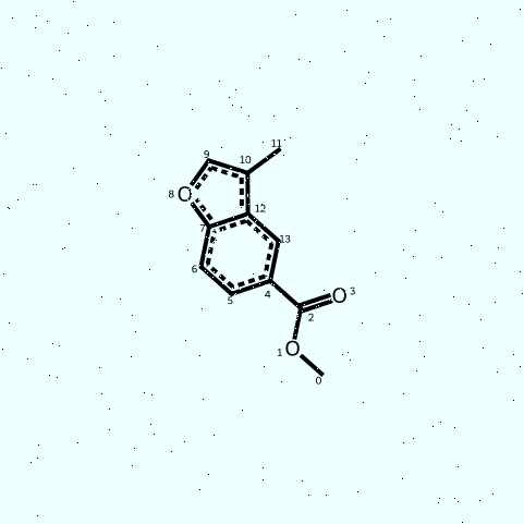 COC(=O)c1ccc2occ(C)c2c1